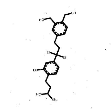 CCc1cc(C(CC)(CC)CCc2ccc(CO)c(CO)c2)ccc1CCC(O)C(C)(C)C